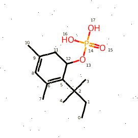 CCC(C)(C)C1=C(C)C=C(C)CC1OP(=O)(O)O